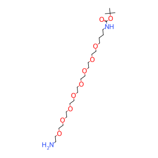 CC(C)(C)OC(=O)NCCCCOCCOCCOCCOCCOCCOCCOCCOCCN